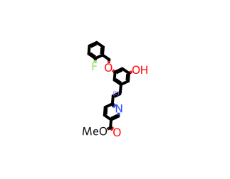 COC(=O)c1ccc(/C=C/c2cc(O)cc(OCc3ccccc3F)c2)nc1